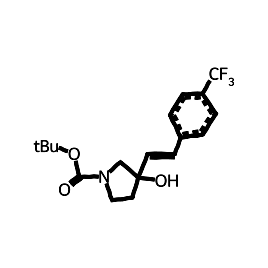 CC(C)(C)OC(=O)N1CCC(O)(/C=C/c2ccc(C(F)(F)F)cc2)C1